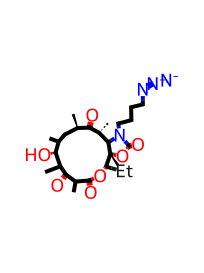 CCC1OC(=O)C(C)C(=O)C(C)[C@@H](O)C(C)C[C@@H](C)C(=O)[C@H](C)C2N(CCCCN=[N+]=[N-])C(=O)O[C@]12C